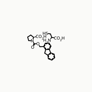 NC(CS)C(=O)O.O=C(O)[C@@H]1CCCN1C(=O)OCc1cccc2c1Cc1ccccc1-2